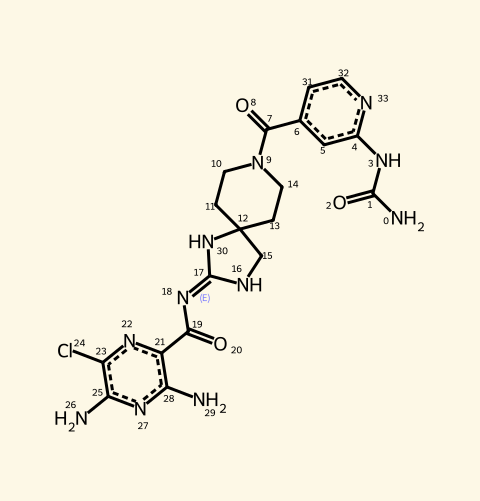 NC(=O)Nc1cc(C(=O)N2CCC3(CC2)CN/C(=N\C(=O)c2nc(Cl)c(N)nc2N)N3)ccn1